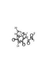 CON(C)C(=O)c1csc2c1c(=O)n(C)c(=O)n2CC(C)C